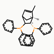 CC1=CC2C[C@@H]1[C@H](P(c1ccccc1)c1ccccc1)C2P(c1ccccc1)c1ccccc1